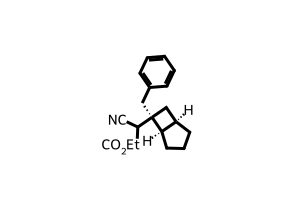 CCOC(=O)C(C#N)[C@@]1(Cc2ccccc2)C[C@H]2CCC[C@H]21